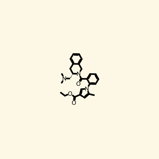 CCOC(=O)c1cc(C)n(-c2ccccc2C(=O)N2Cc3ccccc3C[C@H]2CN(C)C)c1